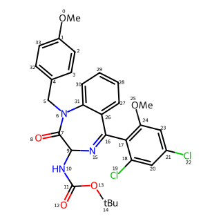 COc1ccc(CN2C(=O)C(NC(=O)OC(C)(C)C)N=C(c3c(Cl)cc(Cl)cc3OC)c3ccccc32)cc1